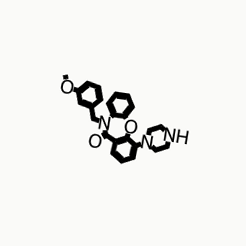 COc1cccc(CN2C(=O)c3cccc(N4CCNCC4)c3Oc3ccccc32)c1